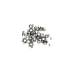 CCc1c(-c2cc(C(C)(C)C)c(OC)c(-c3cc(C(F)(F)F)cc(C(F)(F)F)c3)c2CN(C)[C@@H](C)C(CCc2ccccc2)(CCc2ccccc2)OC)cc(C(C)(C)C)c(OC)c1-c1cc(C(F)(F)F)cc(C(F)(F)F)c1